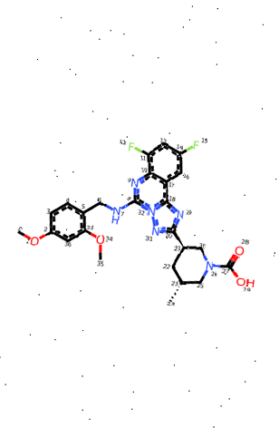 COc1ccc(CNc2nc3c(F)cc(F)cc3c3nc([C@@H]4C[C@@H](C)CN(C(=O)O)C4)nn23)c(OC)c1